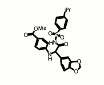 COC(=O)c1ccc(NC(C(=O)NS(=O)(=O)c2ccc(C(C)C)cc2)c2ccc3c(c2)OCO3)cc1